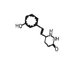 O=C1CCC(/C=C/c2cccc(O)c2)NN1